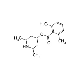 Cc1cccc(C)c1C(=O)OC1CC(C)NC(C)C1